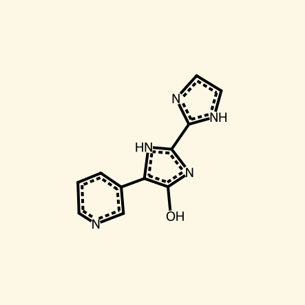 Oc1nc(-c2ncc[nH]2)[nH]c1-c1cccnc1